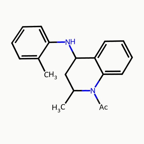 CC(=O)N1c2ccccc2C(Nc2ccccc2C)CC1C